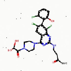 CNC(=O)CCNc1nc(N2CCN(C(=O)C(O)O)CC2)c2cc(Cl)c(-c3c(O)cccc3F)c(F)c2n1